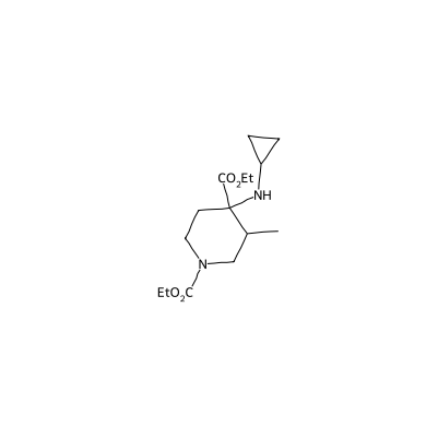 CCOC(=O)N1CCC(NC2CC2)(C(=O)OCC)C(C)C1